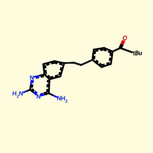 CC(C)(C)C(=O)c1ccc(CCc2ccc3nc(N)nc(N)c3c2)cc1